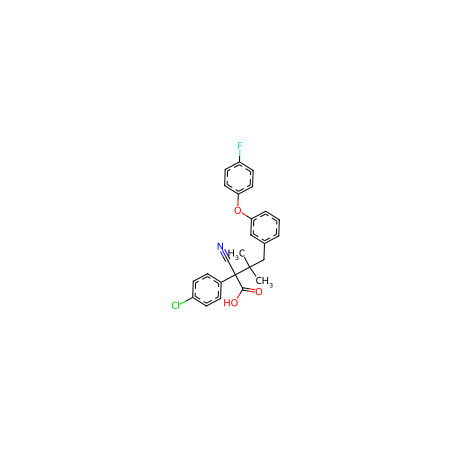 CC(C)(Cc1cccc(Oc2ccc(F)cc2)c1)C(C#N)(C(=O)O)c1ccc(Cl)cc1